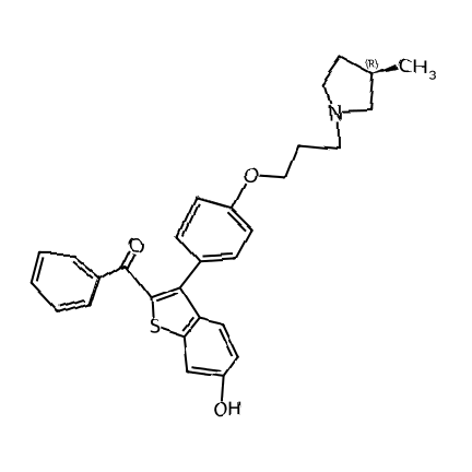 C[C@@H]1CCN(CCCOc2ccc(-c3c(C(=O)c4ccccc4)sc4cc(O)ccc34)cc2)C1